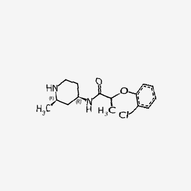 CC(Oc1ccccc1Cl)C(=O)N[C@@H]1CCN[C@H](C)C1